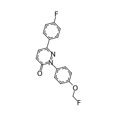 O=c1ccc(-c2ccc(F)cc2)nn1-c1ccc(OCF)cc1